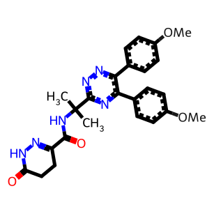 COc1ccc(-c2nnc(C(C)(C)NC(=O)C3=NNC(=O)CC3)nc2-c2ccc(OC)cc2)cc1